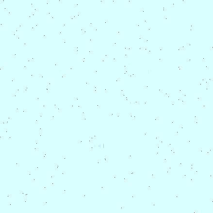 CCC(C)OC1OC(CO)C2C(C)C(C)(O)C2C1O